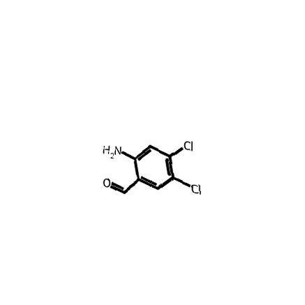 Nc1cc(Cl)c(Cl)cc1C=O